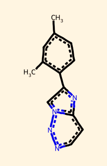 Cc1ccc(-c2cn3nnccc3n2)c(C)c1